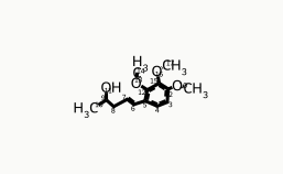 COc1ccc(C=CCC(C)O)c(OC)c1OC